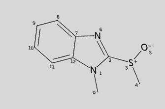 Cn1c([S+](C)[O-])nc2ccccc21